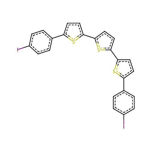 Ic1ccc(-c2ccc(-c3ccc(-c4ccc(-c5ccc(I)cc5)s4)s3)s2)cc1